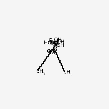 CCCCCCCCCCCCCCCC(=O)OCC(CO[C@@H]1O[C@H](CS(=O)(=O)O)[C@@H](O)[C@H](O)[C@H]1O)OC(=O)CCCCCCCCCCCCCCC